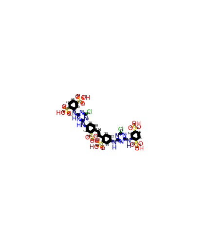 O=S(=O)(O)c1ccc(S(=O)(=O)O)c(Nc2nc(Cl)nc(Nc3ccc(C=Cc4ccc(Nc5nc(Cl)nc(Nc6cc(S(=O)(=O)O)ccc6S(=O)(=O)O)n5)cc4S(=O)(=O)O)c(S(=O)(=O)O)c3)n2)c1